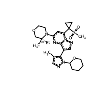 CC[C@]1(C)COCCN1c1cc(C2(S(C)(=O)=O)CC2)n2ncc(-c3c(C)cnn3C3CCCCO3)c2n1